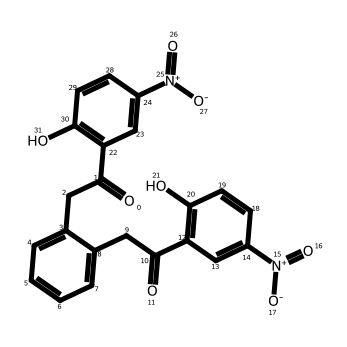 O=C(Cc1ccccc1CC(=O)c1cc([N+](=O)[O-])ccc1O)c1cc([N+](=O)[O-])ccc1O